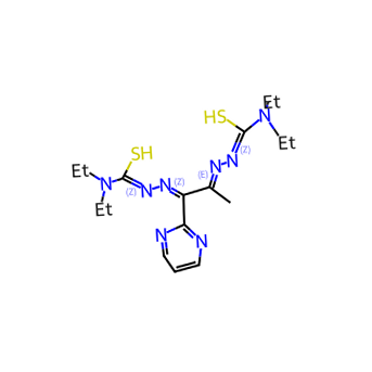 CCN(CC)/C(S)=N/N=C(/C(C)=N/N=C(\S)N(CC)CC)c1ncccn1